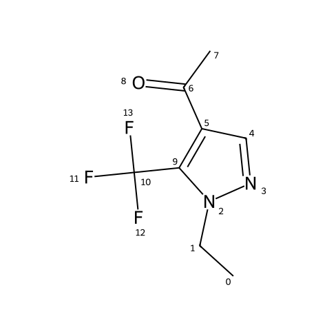 CCn1ncc(C(C)=O)c1C(F)(F)F